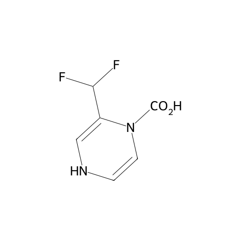 O=C(O)N1C=CNC=C1C(F)F